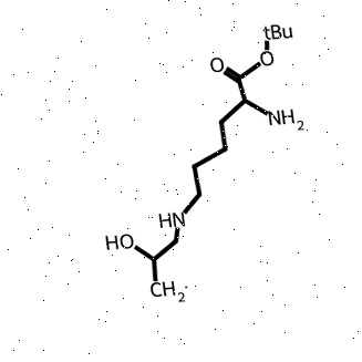 [CH2]C(O)CNCCCCC(N)C(=O)OC(C)(C)C